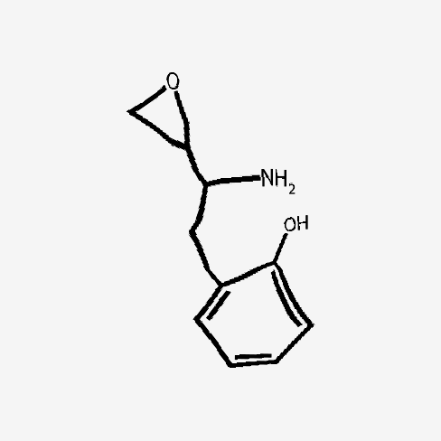 NC(Cc1ccccc1O)C1CO1